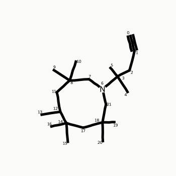 C#CCC(C)(C)N1CC(C)(C)CC(C)C(C)(C)CC(C)(C)C1